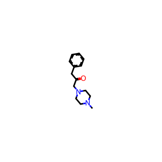 CN1CCN(CC(=O)Cc2ccccc2)CC1